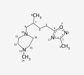 Cc1noc(CCC(C)CN2CCN(C)CC2)n1